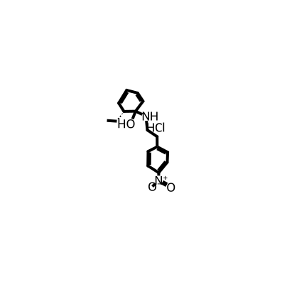 CC[C@@H]1C=CC=CC1(O)NCCc1ccc([N+](=O)[O-])cc1.Cl